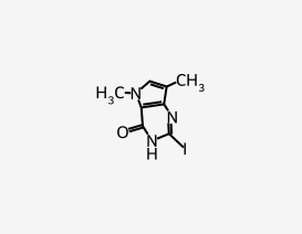 Cc1cn(C)c2c(=O)[nH]c(I)nc12